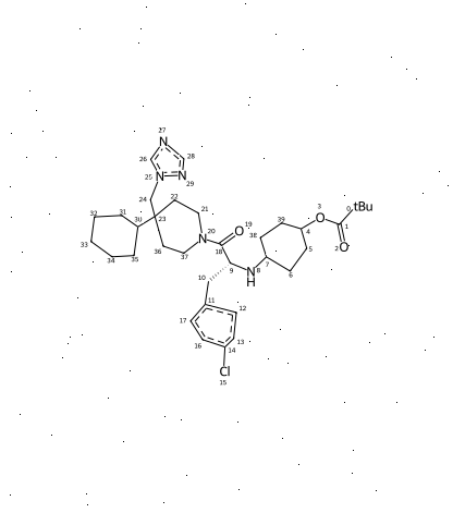 CC(C)(C)C(=O)OC1CCC(N[C@H](Cc2ccc(Cl)cc2)C(=O)N2CCC(Cn3cncn3)(C3CCCCC3)CC2)CC1